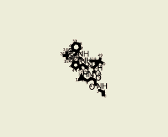 C=CCNC(=O)C(=O)C(CC1CC1)NC(=O)[C@@H]1[C@@H]2C(CN1C(=O)[C@@H](NC(=O)NC1(CS(=O)(=O)C(C)(C)C)CCCCC1)C1(C)CCCC1)C2(C)C